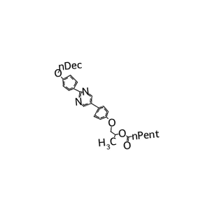 CCCCCCCCCCOc1ccc(-c2ncc(-c3ccc(OCC(C)OC(=O)CCCCC)cc3)cn2)cc1